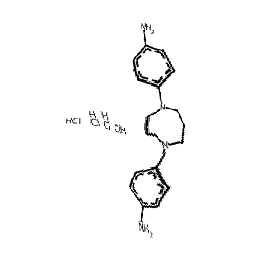 Cl.Cl.Cl.Cl.Nc1ccc(N2CCCN(c3ccc(N)cc3)CC2)cc1